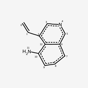 C=Cc1cncc2cccc(N)c12